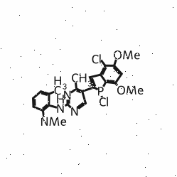 CNc1cccc(C)c1Nc1ncc(-c2cc3c(Cl)c(OC)cc(OC)c3p2Cl)c(C)n1